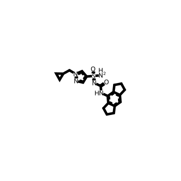 NS(=O)(=NC(=O)Nc1c2c(cc3c1CCC3)CCC2)c1cnn(CC2CC2)c1